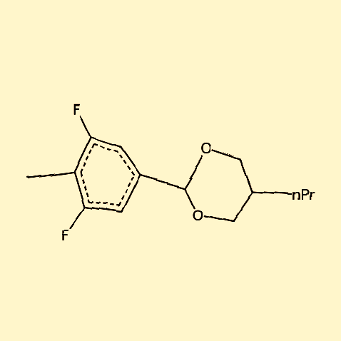 CCCC1COC(c2cc(F)c(C)c(F)c2)OC1